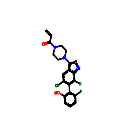 C=CC(=O)N1CCN(c2snc3c(F)c(-c4c(O)cccc4F)c(Cl)cc23)CC1